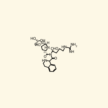 N=C(N)NCCC[C@@H](C=O)N(C(=O)C1NCCc2ccccc21)C(=O)[C@@H]1CCCN1.O=S(=O)(O)O.O=S(O)O